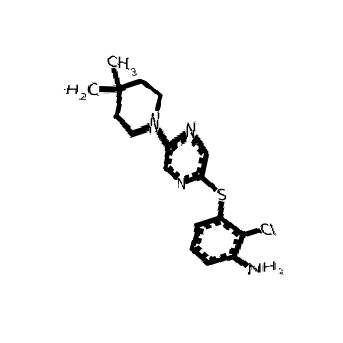 [CH2]C1(C)CCN(c2cnc(Sc3cccc(N)c3Cl)cn2)CC1